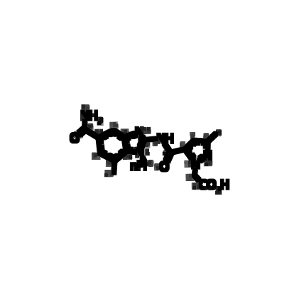 CCCn1c(NC(=O)c2cc(C)nn2CC(=O)O)nc2cc(C(N)=O)cc(C)c21